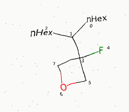 CCCCCCC(CCCCCC)C1(F)COC1